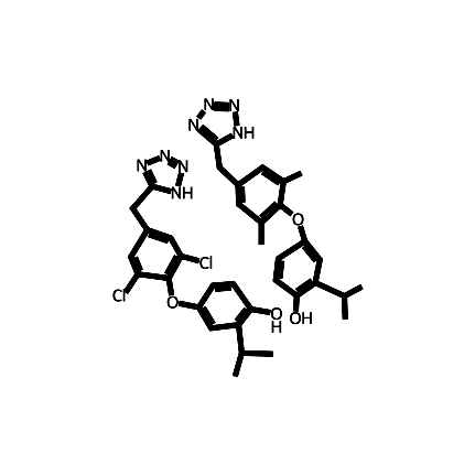 CC(C)c1cc(Oc2c(Cl)cc(Cc3nnn[nH]3)cc2Cl)ccc1O.Cc1cc(Cc2nnn[nH]2)cc(C)c1Oc1ccc(O)c(C(C)C)c1